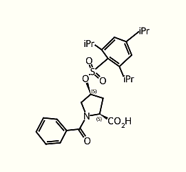 CC(C)c1cc(C(C)C)c(S(=O)(=O)O[C@H]2C[C@@H](C(=O)O)N(C(=O)c3ccccc3)C2)c(C(C)C)c1